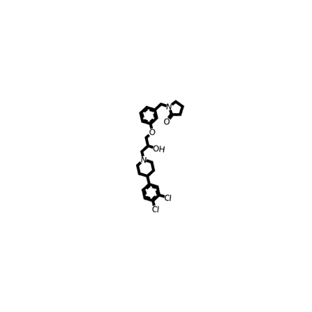 O=C1CCCN1Cc1cccc(OCC(O)CN2CCC(c3ccc(Cl)c(Cl)c3)CC2)c1